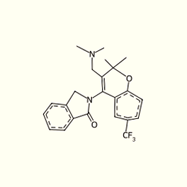 CN(C)CC1=C(N2Cc3ccccc3C2=O)c2cc(C(F)(F)F)ccc2OC1(C)C